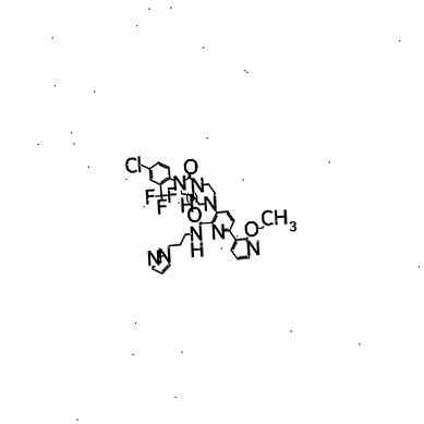 CCOc1ncccc1-c1ccc(N2CCN3C(=O)N(c4ccc(Cl)cc4C(F)(F)F)C[C@@H]3C2)c(C(=O)NCCCn2cccn2)n1